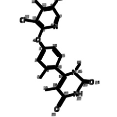 Cc1cc(Oc2ncc(Cl)c(C)c2Cl)ccc1-c1c(C)c(=O)[nH]c(=O)n1C